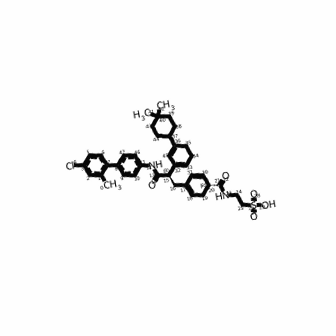 Cc1cc(Cl)ccc1-c1ccc(NC(=O)[C@H](CC2=CC[C@@H](C(=O)NCCS(=O)(=O)O)C=C2)C2=CCCC(C3CCC(C)(C)CC3)=C2)cc1